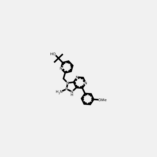 COc1cccc(-c2ncnc3c2NN(N)N3Cc2cccc(C(C)(C)O)n2)c1